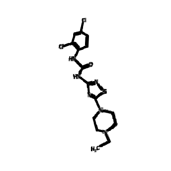 CCN1CCN(c2nc(NC(=O)Nc3ccc(Cl)cc3Cl)ns2)CC1